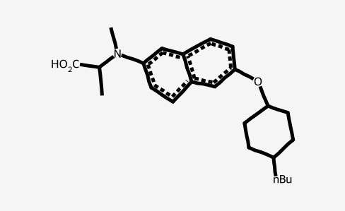 CCCCC1CCC(Oc2ccc3cc(N(C)C(C)C(=O)O)ccc3c2)CC1